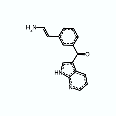 N/C=C/c1cccc(C(=O)c2c[nH]c3ncccc23)c1